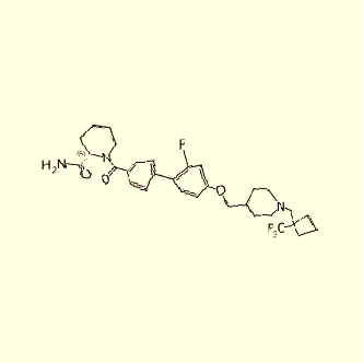 NC(=O)[C@@H]1CCCCN1C(=O)c1ccc(-c2ccc(OCC3CCN(CC4(C(F)(F)F)CCC4)CC3)cc2F)cc1